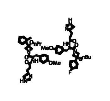 CCCCOC1(c2ccc(F)cc2)CN(C(=O)[C@@H](Cc2ccc(OC)cc2)NC(=O)CCc2c[nH]cn2)C1.CCCOC1(c2ccccc2C)CN(C(=O)[C@@H](Cc2ccc(OC)cc2)NC(=O)CCc2c[nH]cn2)C1